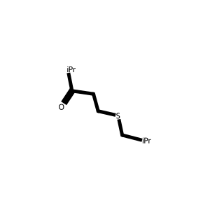 CC(C)CSCCC(=O)C(C)C